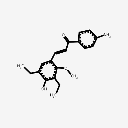 CCc1cc(C=CC(=O)c2ccc(N)cc2)c(OC)c(CC)c1O